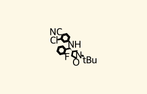 CC(C)(C)CN1C[C@@H](C(Nc2ccc(C#N)c(Cl)c2)c2ccccc2F)CC1=O